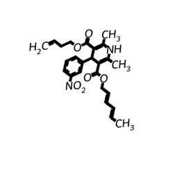 C=CCCOC(=O)C1=C(C)NC(C)=C(C(=O)OCC=CC=CC)C1c1cccc([N+](=O)[O-])c1